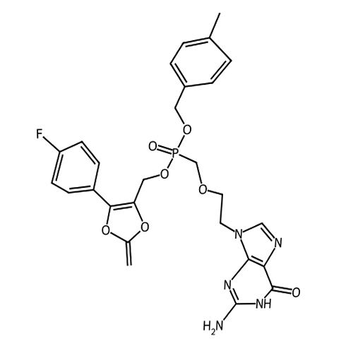 C=C1OC(COP(=O)(COCCn2cnc3c(=O)[nH]c(N)nc32)OCc2ccc(C)cc2)=C(c2ccc(F)cc2)O1